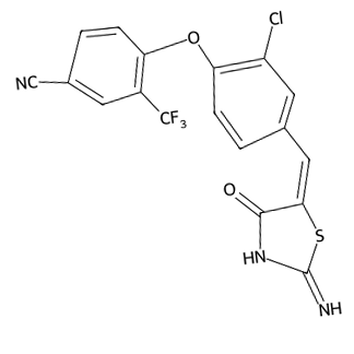 N#Cc1ccc(Oc2ccc(C=C3SC(=N)NC3=O)cc2Cl)c(C(F)(F)F)c1